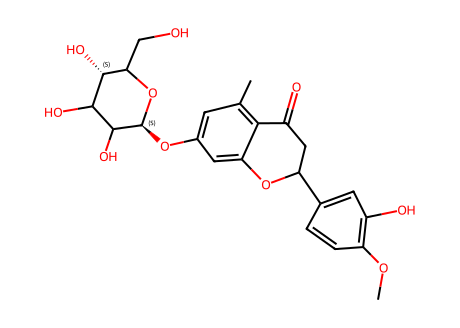 COc1ccc(C2CC(=O)c3c(C)cc(O[C@@H]4OC(CO)[C@@H](O)C(O)C4O)cc3O2)cc1O